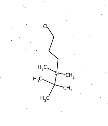 CC(C)(C)[Si](C)(C)CCCCl